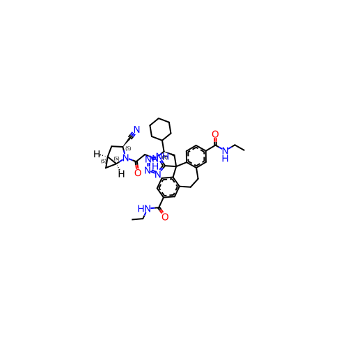 CCNC(=O)c1ccc2c(c1)CCc1cc(C(=O)NCC)ccc1C2(C[C@@H](NCC(=O)N1[C@H](C#N)C[C@@H]2C[C@@H]21)C1CCCCC1)c1nnn[nH]1